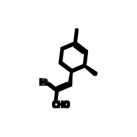 CC/C(C=O)=C\[C@H]1CCC(C)=C[C@H]1C